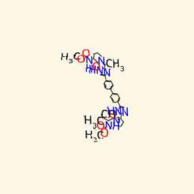 COC(=O)NC1CCCN(C(C)c2nc(-c3ccc(-c4ccc(-c5cnc(C6CCCN6C(=O)C(NC(=O)OC)C(C)C)[nH]5)cc4)cc3)c[nH]2)C1=O